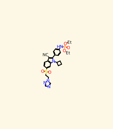 CCOP(=O)(Nc1ccc(-c2c(C#N)c3ccc(S(=O)(=O)CCn4cncn4)cc3n2C2CCC2)cc1)OCC